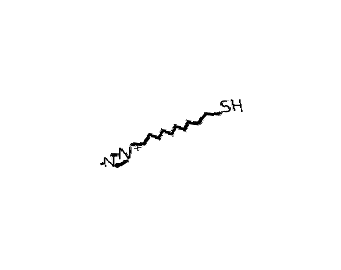 Cn1cc[n+](CCCCCCCCCCCCS)c1